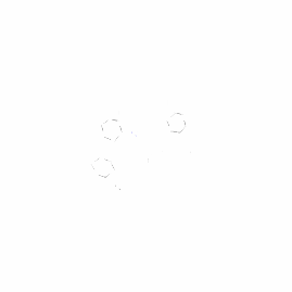 CC(C)(F)C(c1cc(F)cc(F)c1)C1CN(c2cc(C(F)(F)F)ccc2Cc2cccc(C#N)c2)C1